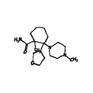 CN1CCN(C2(C3CCOC3)CCCCC2(C)C(N)=O)CC1